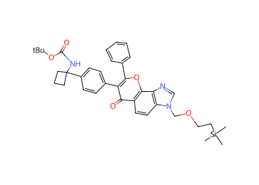 CC(C)(C)OC(=O)NC1(c2ccc(-c3c(-c4ccccc4)oc4c(ccc5c4ncn5COCC[Si](C)(C)C)c3=O)cc2)CCC1